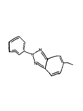 Cc1ccc2nn(-c3ccccc3)nc2c1